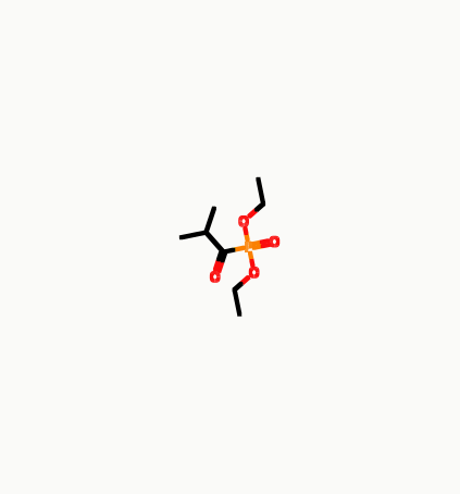 CCOP(=O)(OCC)C(=O)C(C)C